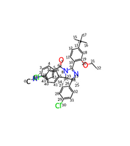 [C-]#[N+]c1ccc(C(=O)N2C(c3ccc(C(C)(C)C)cc3OCC)=N[C@@](C)(c3ccc(Cl)cc3)[C@@]2(C)c2ccc(Cl)cc2)cc1